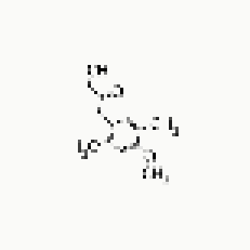 CCC(=O)Cc1cc(C)c(OC)cc1C